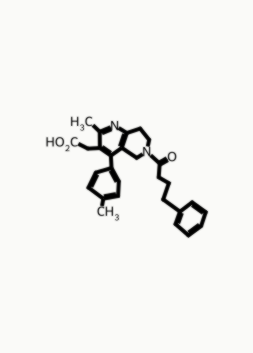 Cc1ccc(-c2c(CC(=O)O)c(C)nc3c2CN(C(=O)CCCc2ccccc2)CC3)cc1